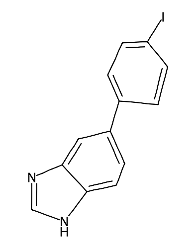 Ic1ccc(-c2ccc3[nH]cnc3c2)cc1